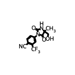 CC1(CO)NC(=O)N(c2ccc(C#N)c(C(F)(F)F)c2)C1=O